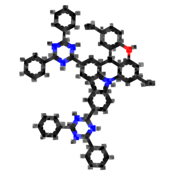 CC(C)(C)c1ccc2c(c1)B1c3c(cc(C(C)(C)C)cc3-n3c4ccc(-c5nc(-c6ccccc6)nc(-c6ccccc6)n5)cc4c4cc(-c5nc(-c6ccccc6)nc(-c6ccccc6)n5)cc1c43)O2